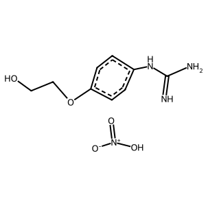 N=C(N)Nc1ccc(OCCO)cc1.O=[N+]([O-])O